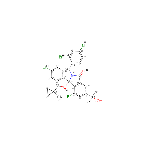 CC(C)(O)c1cc(F)c2c(c1)C(=O)N(Cc1ccc(Cl)cc1Br)C2(OCC1(C#N)CC1)c1ccc(Cl)cc1